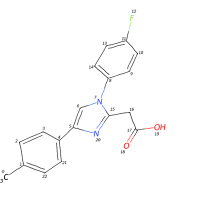 Cc1ccc(-c2cn(-c3ccc(F)cc3)c(CC(=O)O)n2)cc1